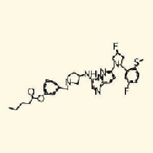 CCCCC(=O)Oc1cccc(CN2CCC(Nc3cnc4ccc(N5CC(F)CC5c5cc(F)ccc5SC)nn34)C2)c1